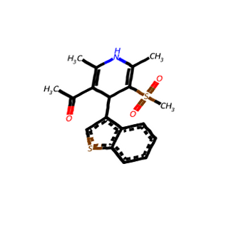 CC(=O)C1=C(C)NC(C)=C(S(C)(=O)=O)C1c1csc2ccccc12